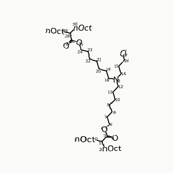 CCCCCCCCC(CCCCCCCC)C(=O)OCCCCCCCN(CCCCl)CCCCCCCOC(=O)C(CCCCCCCC)CCCCCCCC